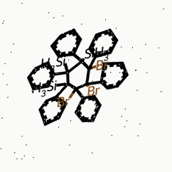 [SiH3]C1(c2ccccc2)C([SiH3])(c2ccccc2)C(Br)(c2ccccc2)C(Br)(c2ccccc2)C(Br)(c2ccccc2)C1([SiH3])c1ccccc1